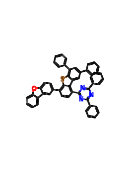 c1ccc(-c2cc(-c3ccccc3)c3sc4c(-c5ccc6oc7ccccc7c6c5)ccc(-c5nc(-c6ccccc6)nc(-c6ccccc6)n5)c4c3c2)cc1